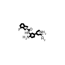 C=C/C=C(\C=C/N)c1ccc(N)c(NC(=O)N2Cc3cccc(F)c3C2)c1